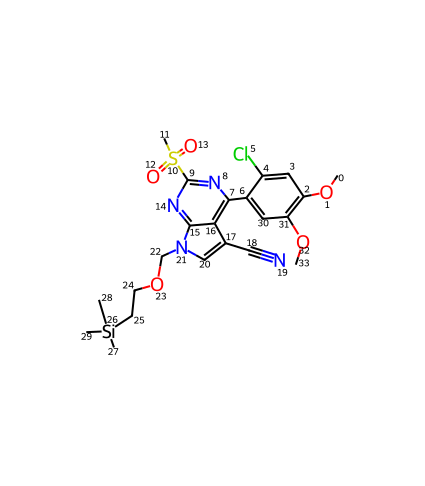 COc1cc(Cl)c(-c2nc(S(C)(=O)=O)nc3c2c(C#N)cn3COCC[Si](C)(C)C)cc1OC